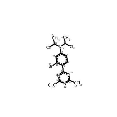 CC(Cl)N(c1ccc(-c2nc(C(Cl)(Cl)Cl)nc(C(Cl)(Cl)Cl)n2)c(Br)c1)C(C)Cl